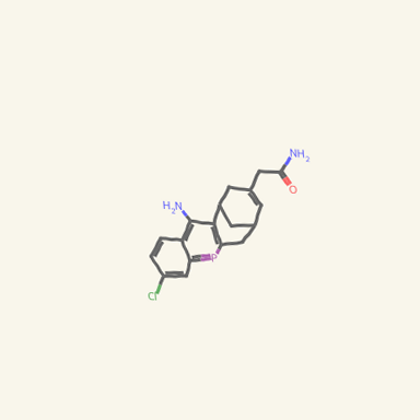 NC(=O)CC1=CC2Cc3pc4cc(Cl)ccc4c(N)c3C(C1)C2